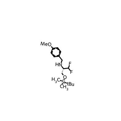 COc1ccc(CN[C@@H](CO[Si](C)(C)C(C)(C)C)C(F)F)cc1